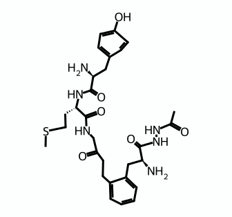 CSCC[C@H](NC(=O)[C@@H](N)Cc1ccc(O)cc1)C(=O)NCC(=O)CCc1ccccc1C[C@H](N)C(=O)NNC(C)=O